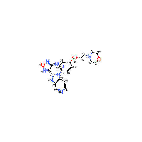 Nc1nonc1-c1nc2cnccc2n1-c1ccc(OCCN2CCOCC2)cc1